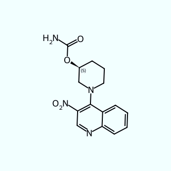 NC(=O)O[C@H]1CCCN(c2c([N+](=O)[O-])cnc3ccccc23)C1